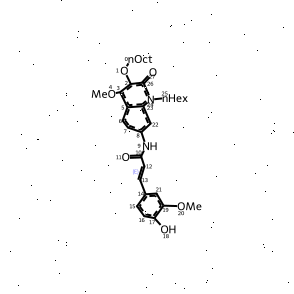 CCCCCCCCOc1c(OC)c2ccc(NC(=O)/C=C/c3ccc(O)c(OC)c3)cc2n(CCCCCC)c1=O